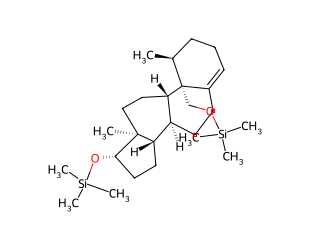 C[C@H]1CCC=C2CC[C@H]3[C@@H]4CC[C@H](O[Si](C)(C)C)[C@@]4(C)CC[C@@H]3[C@]21CO[Si](C)(C)C